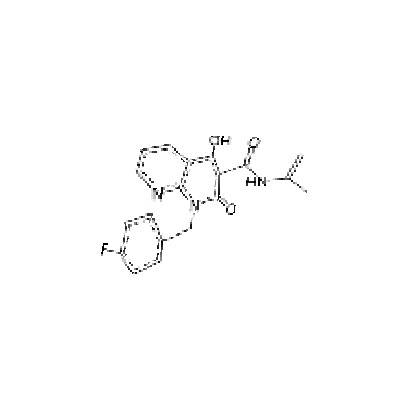 C=C(C)NC(=O)c1c(O)c2cccnc2n(Cc2ccc(F)cc2)c1=O